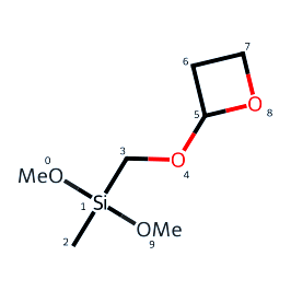 CO[Si](C)(COC1CCO1)OC